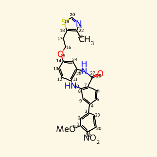 COc1cc(-c2ccc3c(c2)Nc2ccc(OCCc4scnc4C)cc2NC3=O)ccc1[N+](=O)[O-]